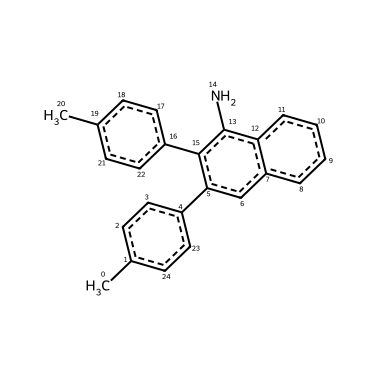 Cc1ccc(-c2cc3ccccc3c(N)c2-c2ccc(C)cc2)cc1